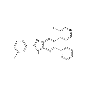 Fc1cccc(-c2nc3cc(-c4ccncc4F)c(-c4cccnc4)nc3[nH]2)c1